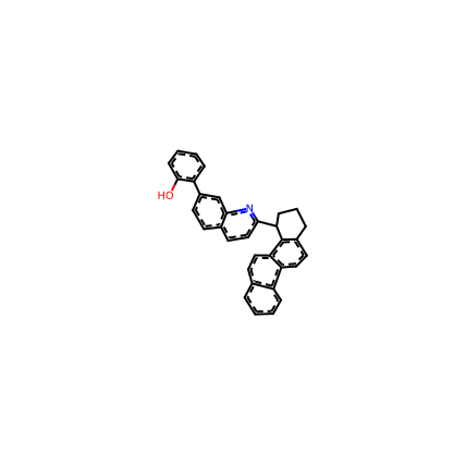 Oc1ccccc1-c1ccc2ccc(C3CCCc4ccc5c(ccc6ccccc65)c43)nc2c1